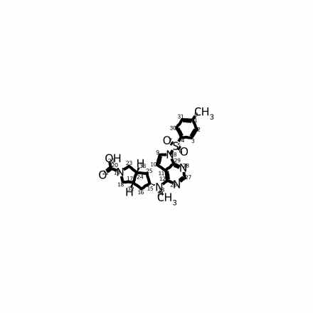 Cc1ccc(S(=O)(=O)n2ccc3c(N(C)[C@@H]4C[C@@H]5CN(C(=O)O)C[C@@H]5C4)ncnc32)cc1